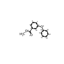 COC(=O)c1cccc(Oc2cc[c]cc2)c1